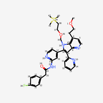 COCCc1ccnc2c(-c3ccccn3)c(-c3ccnc(NC(=O)Cc4ccc(F)cc4)c3)n(COCCS(C)(C)C)c12